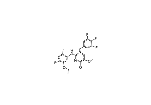 CCOc1cc(Nc2nc(=O)c(OC)cn2Cc2cc(F)c(F)c(F)c2)c(C)cc1F